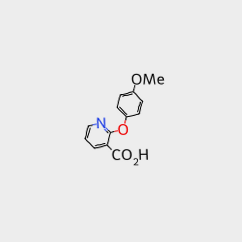 COc1ccc(Oc2ncccc2C(=O)O)cc1